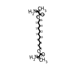 C[C@H](N)C(=O)OCCCCCCCCCCCOC(=O)[C@H](C)N